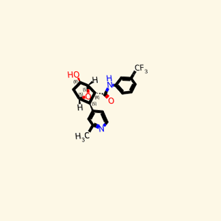 Cc1cc([C@@H]2[C@@H](C(=O)Nc3cccc(C(F)(F)F)c3)[C@@H]3O[C@H]2C[C@H]3O)ccn1